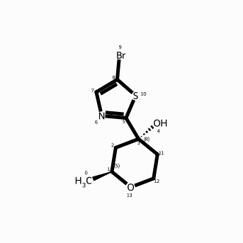 C[C@H]1C[C@@](O)(c2ncc(Br)s2)CCO1